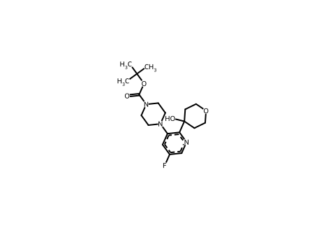 CC(C)(C)OC(=O)N1CCN(c2cc(F)cnc2C2(O)CCOCC2)CC1